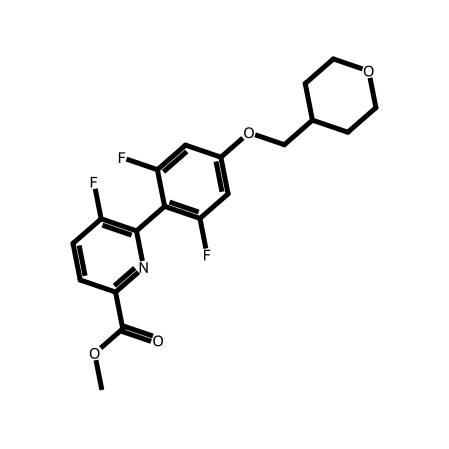 COC(=O)c1ccc(F)c(-c2c(F)cc(OCC3CCOCC3)cc2F)n1